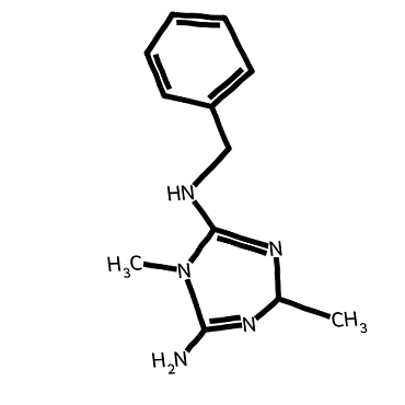 CC1N=C(N)N(C)C(NCc2ccccc2)=N1